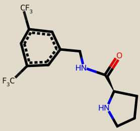 O=C(NCc1cc(C(F)(F)F)cc(C(F)(F)F)c1)[C@H]1CCCN1